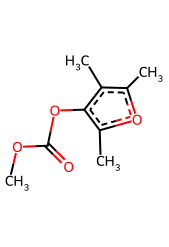 COC(=O)Oc1c(C)oc(C)c1C